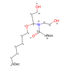 CCCCCCCCCCCCCCCCOC(CCO)N(CCO)C(=O)CCCCCCCCC